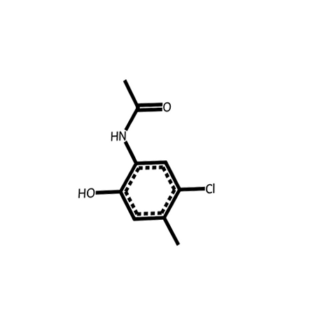 CC(=O)Nc1cc(Cl)c(C)cc1O